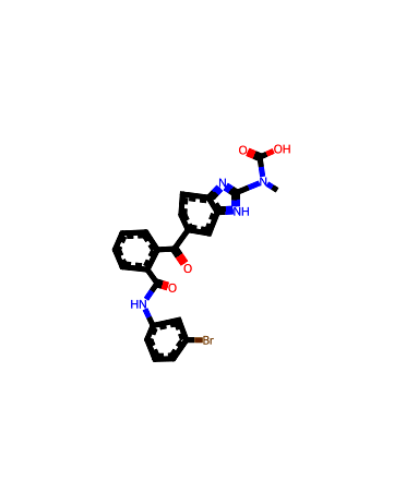 CN(C(=O)O)c1nc2ccc(C(=O)c3ccccc3C(=O)Nc3cccc(Br)c3)cc2[nH]1